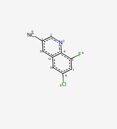 N#Cc1cnc2c(F)cc(Cl)cc2c1